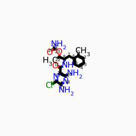 Cc1ccccc1CC(NC(=O)c1nc(Cl)c(N)nc1N)C(C)OC(N)=O